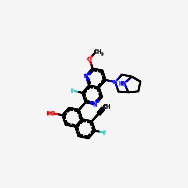 C#Cc1c(F)ccc2cc(O)cc(-c3ncc4c(N5CC6CCC(C5)N6)cc(OC)nc4c3F)c12